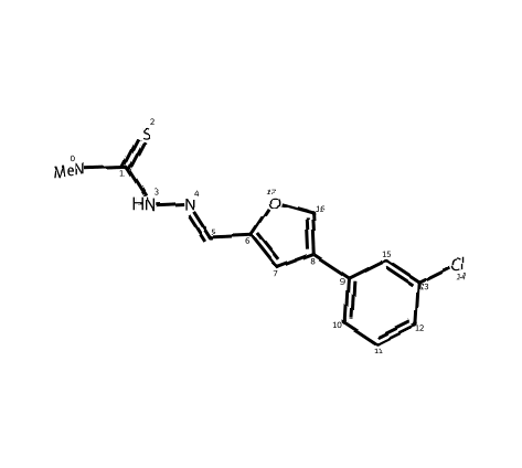 CNC(=S)NN=Cc1cc(-c2cccc(Cl)c2)co1